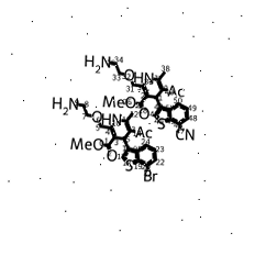 COC(=O)C1=C(COCCN)NC(C)=C(C(C)=O)C1c1csc2c(Br)cccc12.COC(=O)C1=C(COCCN)NC(C)=C(C(C)=O)C1c1csc2c(C#N)cccc12